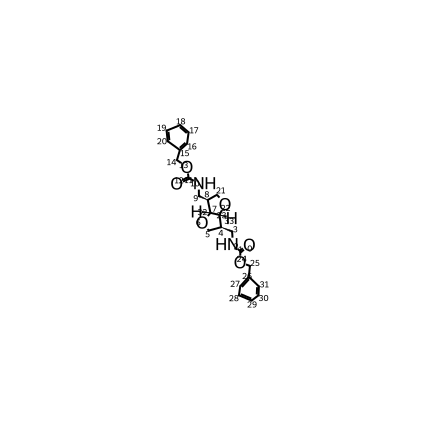 O=C(NC[C@H]1CO[C@@H]2[C@@H](CNC(=O)OCc3ccccc3)CO[C@H]12)OCc1ccccc1